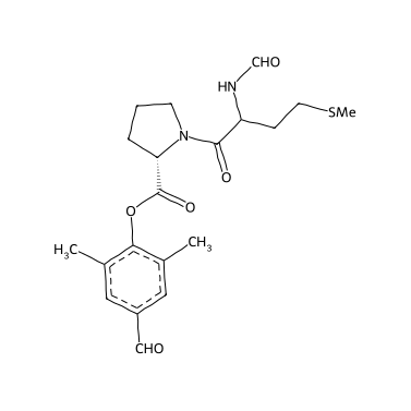 CSCCC(NC=O)C(=O)N1CCC[C@H]1C(=O)Oc1c(C)cc(C=O)cc1C